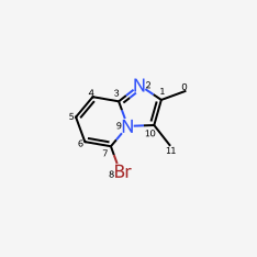 Cc1nc2cccc(Br)n2c1C